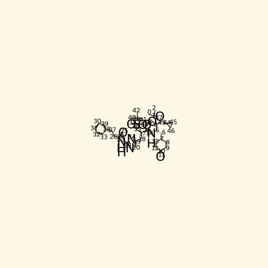 CC1(C)O[C@H]([C@H](CC2CCC(=O)CC2)NC(=O)C(Cc2c[nH]c(NC(=O)CCc3ccccc3)n2)CS(=O)(=O)C(C)(C)C)[C@H](C2CC2)O1